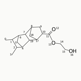 CC1C(C)C2CC1C1C3CC(C(=O)OCCO)C(C3)C21